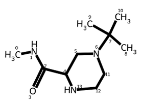 CNC(=O)C1CN(C(C)(C)C)CCN1